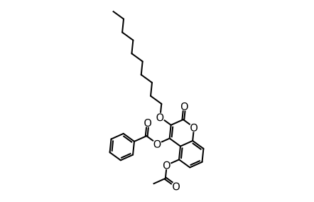 CCCCCCCCCCOc1c(OC(=O)c2ccccc2)c2c(OC(C)=O)cccc2oc1=O